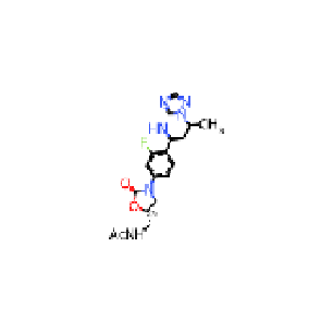 CC(=O)NC[C@H]1CN(c2ccc(C(=N)CC(C)n3cncn3)c(F)c2)C(=O)O1